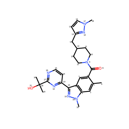 Cc1cc2c(cc1C(=O)N1CCC(Cc3ccn(C)n3)CC1)c(-c1ccnc(C(C)(C)O)n1)nn2C